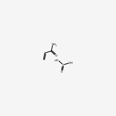 C=CC(N)=O.CCCS(=O)O